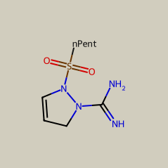 CCCCCS(=O)(=O)N1C=CCN1C(=N)N